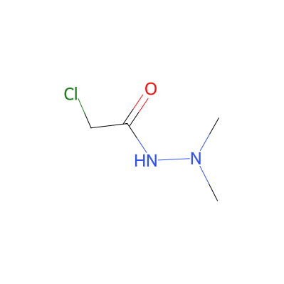 CN(C)NC(=O)CCl